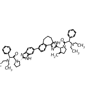 C=C1CCN(C(=O)[C@@H](c2ccccc2)N(CC)CC)[C@@H]1c1nc2c([nH]1)CCCc1cc(-c3ccc4nc([C@@H]5CCCN5C(=O)[C@@H](c5ccccc5)N(CC)CC)[nH]c4c3)ccc1-2